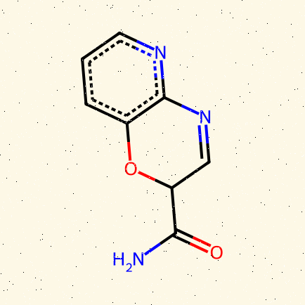 NC(=O)C1C=Nc2ncccc2O1